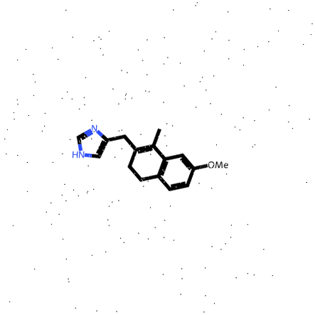 COc1ccc2c(c1)C(C)=C(Cc1c[nH]cn1)CC2